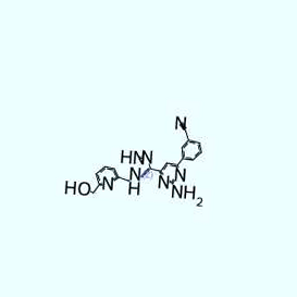 N#Cc1cccc(-c2cc(/C(=C/NCc3cccc(CO)n3)N=N)nc(N)n2)c1